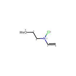 C=CN(Cl)CCOC